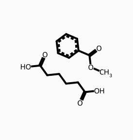 COC(=O)c1ccccc1.O=C(O)CCCCC(=O)O